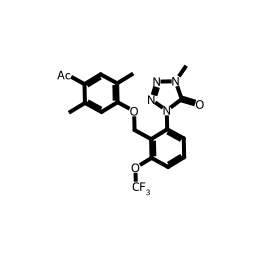 CC(=O)c1cc(C)c(OCc2c(OC(F)(F)F)cccc2-n2nnn(C)c2=O)cc1C